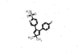 CC1(C)C=C(c2ccc(F)cc2)C(c2ccc(S(N)(=O)=O)nc2)=C1